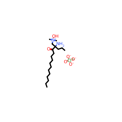 CCCCCCCCCCCC(=O)C(N)(CCC)C[N+](C)(C)O.[O-][Cl+3]([O-])([O-])[O-]